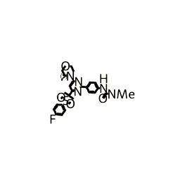 CNC(=O)Nc1ccc(-c2nc(N3CCOC[C@@H]3C)cc(C(C)(C)S(=O)(=O)c3ccc(F)cc3)n2)cc1